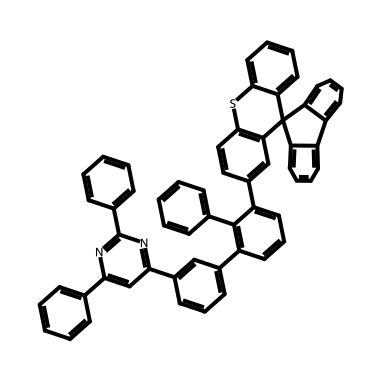 c1ccc(-c2cc(-c3cccc(-c4cccc(-c5ccc6c(c5)C5(c7ccccc7S6)c6ccccc6-c6ccccc65)c4-c4ccccc4)c3)nc(-c3ccccc3)n2)cc1